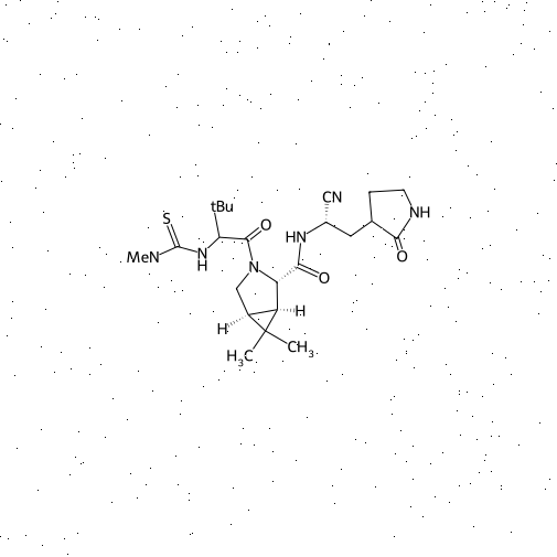 CNC(=S)NC(C(=O)N1C[C@H]2[C@@H]([C@H]1C(=O)N[C@H](C#N)CC1CCNC1=O)C2(C)C)C(C)(C)C